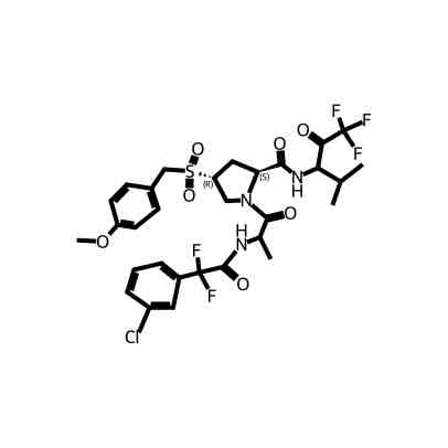 COc1ccc(CS(=O)(=O)[C@@H]2C[C@@H](C(=O)NC(C(=O)C(F)(F)F)C(C)C)N(C(=O)C(C)NC(=O)C(F)(F)c3cccc(Cl)c3)C2)cc1